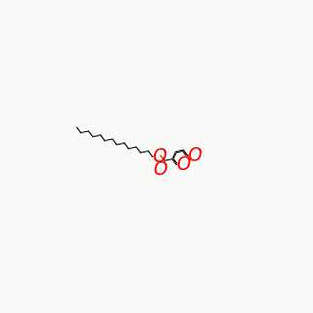 CCCCCCCCCCCCCCOC(=O)c1ccc(=O)oc1